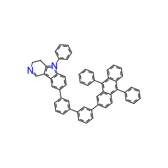 C1=NCCc2c1c1cc(-c3cccc(-c4cccc(-c5ccc6c(-c7ccccc7)c7ccccc7c(-c7ccccc7)c6c5)c4)c3)ccc1n2-c1ccccc1